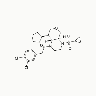 O=C(Cc1ccc(Cl)c(Cl)c1)N1CCN(S(=O)(=O)C2CC2)[C@@H]2COC[C@H](C3CCCC3)[C@H]21